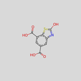 O=C(O)c1cc(C(=O)O)c2sc(O)nc2c1